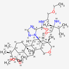 CCOCCNC(=O)c1ncnn1[C@@H]1C[C@@]23COC[C@](C)([C@@H]2CC[C@H]2C3=CC[C@@]3(C)[C@H](C(=O)O)[C@@](C)([C@H](C)C(C)C)CC[C@]23C)[C@H]1OC[C@](C)(N)C(C)C